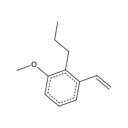 C=Cc1cccc(OC)c1CCC